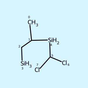 CC(C[SiH3])[SiH2]C(Cl)Cl